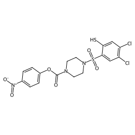 O=C(Oc1ccc([N+](=O)[O-])cc1)N1CCN(S(=O)(=O)c2cc(Cl)c(Cl)cc2S)CC1